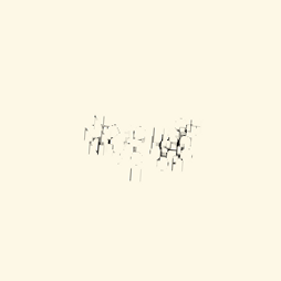 C[C@@]1(c2cc3ncnc(N)n3c2)O[C@H](COP(=O)(O)OP(=O)(O)OP(=O)(O)O)[C@H](O)[C@H]1O